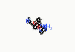 C[C@@H](NC(=O)c1c(N)ncc2cccnc12)c1oc2cccc(C#Cc3cnn(C)c3)c2c(=O)c1-c1ccccc1